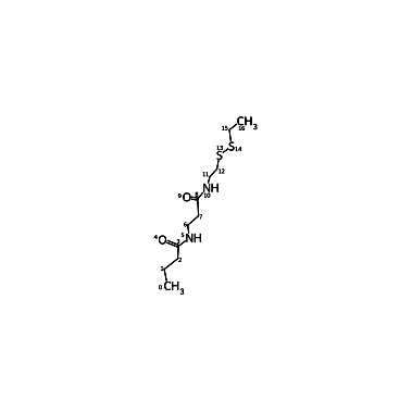 CCCC(=O)NCCC(=O)NCCSSCC